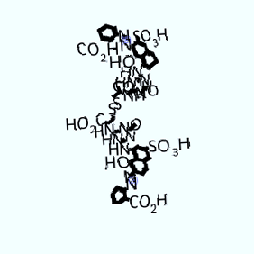 O=C(O)c1ccccc1/N=N/c1ccc2cc(S(=O)(=O)O)cc(Nc3nc(=O)nc(NC(CSSCC(Nc4nc(=O)nc(Nc5cccc6cc(S(=O)(=O)O)c(/N=N/c7ccccc7C(=O)O)c(O)c56)[nH]4)C(=O)O)C(=O)O)[nH]3)c2c1O